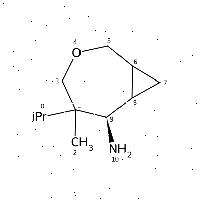 CC(C)C1(C)COCC2CC2[C@H]1N